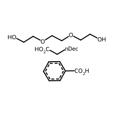 CCCCCCCCCCCC(=O)O.O=C(O)c1ccccc1.OCCOCCOCCO